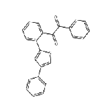 O=C(C(=O)c1ccccc1-c1cc(-c2ccccc2)cs1)c1ccccc1